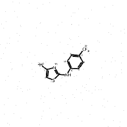 [2H]c1csc(Nc2ccc(C(F)(F)F)cc2)n1